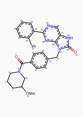 COC1CCCN(C(=O)c2ccc(Cn3c(=O)[nH]c4cnc(-c5ccccc5C(C)C)nc43)cc2)C1